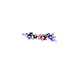 CC1(OC[C@@H]2C[C@H](F)[C@H](n3ccc4c(N)ncnc43)O2)O[C@@H]2CC(OP1)S[C@H]2n1cnc2c(=O)[nH]c(N)nc21